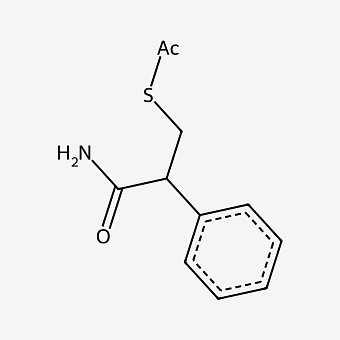 CC(=O)SCC(C(N)=O)c1ccccc1